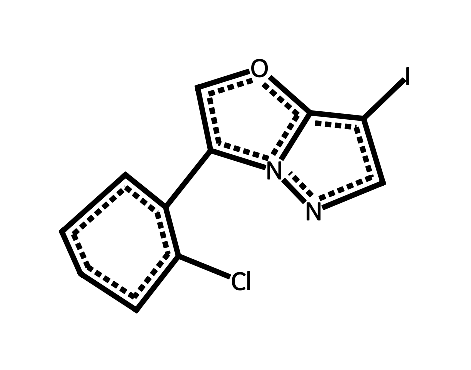 Clc1ccccc1-c1coc2c(I)cnn12